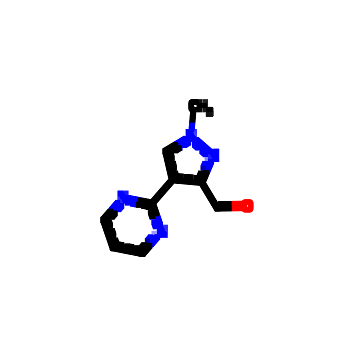 Cn1cc(-c2ncccn2)c(C=O)n1